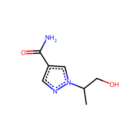 CC(CO)n1cc(C(N)=O)cn1